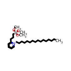 CCCCCCCCCCCCCCCC[n+]1ccccc1CCC[Si](OC)(OC)OC